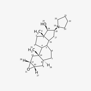 C[C@]12CCC3C(CC[C@H]4C[C@@H]5O[C@@H]5C[C@]34C)C1C[C@H](N1CCCC1)[C@@H]2O